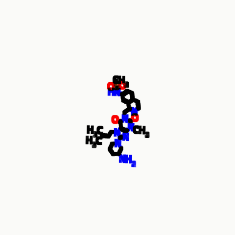 CC(C)=CCn1c(N2CCCC(N)C2)nc2c1c(=O)n(Cc1nccc3ccc(NS(C)(=O)=O)cc13)c(=O)n2C